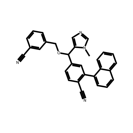 Cn1cncc1C(OCc1cccc(C#N)c1)c1ccc(C#N)c(-c2cccc3ccccc23)c1